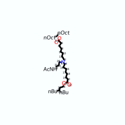 CCCCCCCCC(CCCCCCCC)OC(=O)CCCCCCCN(CCCCCCCC(=O)OCCC(CCCC)CCCC)CCCNC(C)=O